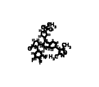 Cc1noc(C)c1-c1ccc2c(c1)nc(C1CCC(=O)N1c1cc(F)c(F)c(F)c1)n2C1CCN(S(C)(=O)=O)C1